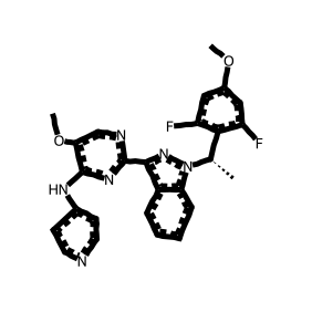 COc1cc(F)c([C@H](C)n2nc(-c3ncc(OC)c(Nc4ccncc4)n3)c3ccccc32)c(F)c1